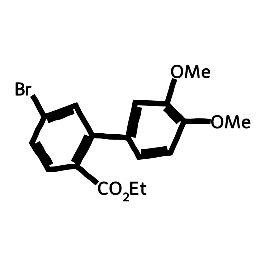 CCOC(=O)c1ccc(Br)cc1-c1ccc(OC)c(OC)c1